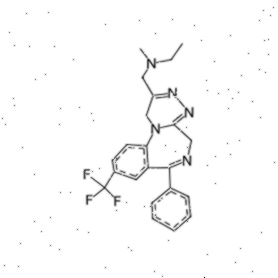 CCN(C)CC1=NN=C2CN=C(c3ccccc3)c3cc(C(F)(F)F)ccc3N2C1